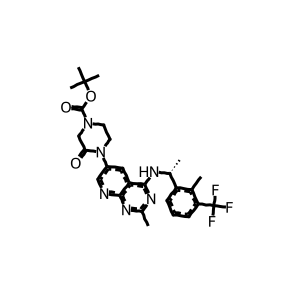 Cc1nc(N[C@H](C)c2cccc(C(F)(F)F)c2C)c2cc(N3CCN(C(=O)OC(C)(C)C)CC3=O)cnc2n1